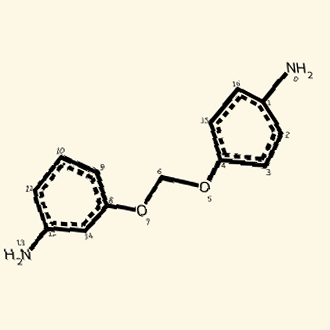 Nc1ccc(OCOc2cccc(N)c2)cc1